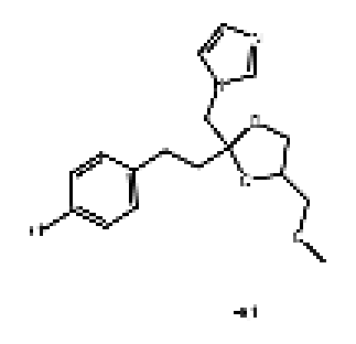 COCC1COC(CCc2ccc(Cl)cc2)(Cn2ccnc2)O1.Cl